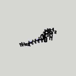 CCCCCC/C=C/CCC/C=C/COC(=O)c1ccc(N)c(O)c1